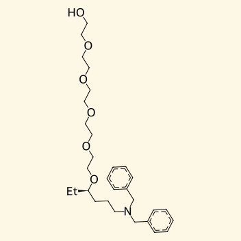 CC[C@H](CCCN(Cc1ccccc1)Cc1ccccc1)OCCOCCOCCOCCOCCO